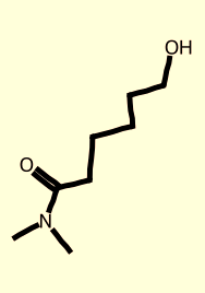 CN(C)C(=O)CCCCCO